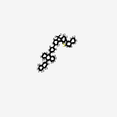 CC1(C)c2ccc(-c3ccc(-c4c5ccccc5c(-c5ccc6ccccc6c5)c5ccccc45)cc3)cc2-c2c1ccc1c2sc2ccc3ccccc3c21